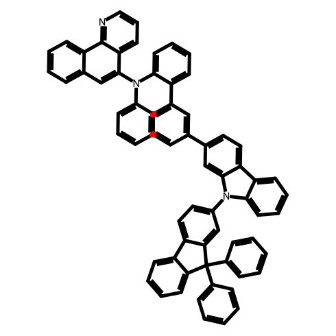 c1ccc(N(c2ccccc2-c2cccc(-c3ccc4c5ccccc5n(-c5ccc6c(c5)C(c5ccccc5)(c5ccccc5)c5ccccc5-6)c4c3)c2)c2cc3ccccc3c3ncccc23)cc1